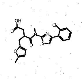 Cc1ccc(CC(CC(=O)O)C(=O)N(C)c2nc(-c3ccccc3Cl)cs2)o1